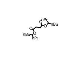 CCCCC(CCC)OC(=O)CCC(=O)OC(CCC)CCCC